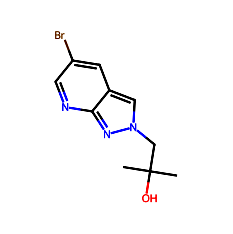 CC(C)(O)Cn1cc2cc(Br)cnc2n1